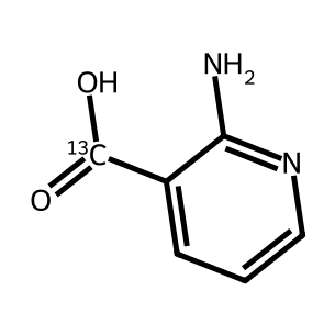 Nc1ncccc1[13C](=O)O